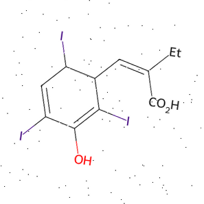 CCC(=CC1C(I)=C(O)C(I)=CC1I)C(=O)O